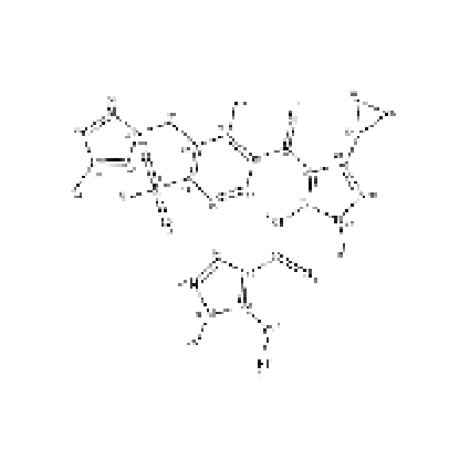 CCOc1c(C(=O)Oc2c(C(=O)c3ccc(S(C)(=O)=O)c(Cn4cc(C)cn4)c3C)c(C3CC3)nn2C)cnn1C